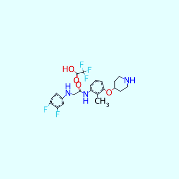 Cc1c(NC(=O)CNc2ccc(F)c(F)c2)cccc1OC1CCNCC1.O=C(O)C(F)(F)F